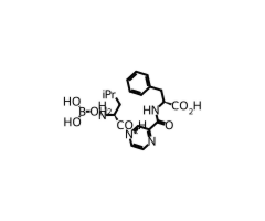 CC(C)C[C@H](N)C(=O)O.O=C(N[C@@H](Cc1ccccc1)C(=O)O)c1cnccn1.OB(O)O